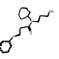 COCCCN(C(=O)CCOc1ccccc1)C1CCCCC1